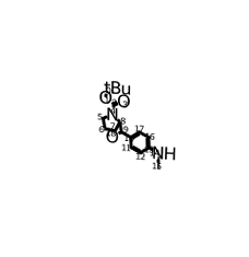 CC(C)(C)OC(=O)N1CC2CC1C(c1ccc(NI)cc1)O2